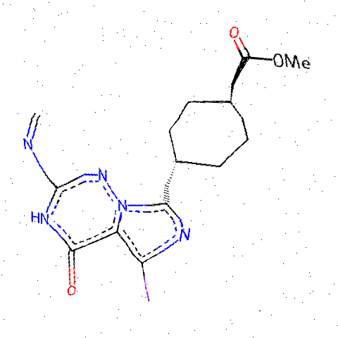 C=Nc1nn2c(c(I)nc2[C@H]2CC[C@H](C(=O)OC)CC2)c(=O)[nH]1